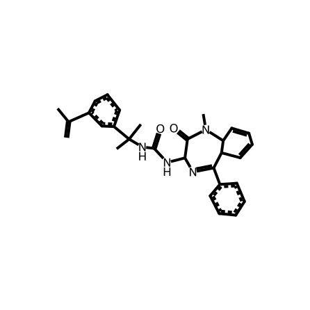 C=C(C)c1cccc(C(C)(C)NC(=O)NC2N=C(c3ccccc3)C3C=CC=CC3N(C)C2=O)c1